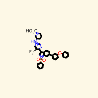 O=C(O)N1CCC[C@H](NN2C=C(C(F)(F)F)C(c3cn(S(=O)(=O)c4ccccc4)c4cc(-c5cccc(Oc6ccccc6)c5)ccc34)=NC2)C1